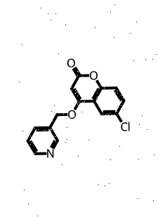 O=c1cc(OCc2cccnc2)c2cc(Cl)ccc2o1